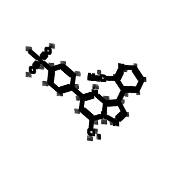 COc1ncccc1-c1cnn2c(C(F)(F)F)cc(-c3ccc(S(C)(=O)=O)cc3)nc12